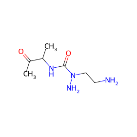 CC(=O)C(C)NC(=O)N(N)CCN